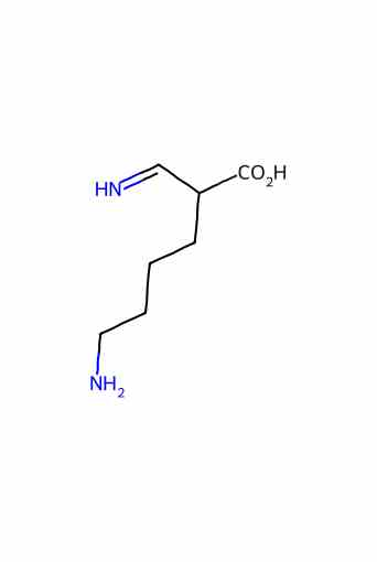 N=CC(CCCCN)C(=O)O